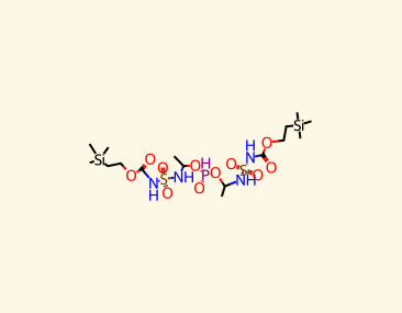 CC(NS(=O)(=O)NC(=O)OCC[Si](C)(C)C)O[PH](=O)OC(C)NS(=O)(=O)NC(=O)OCC[Si](C)(C)C